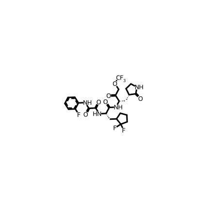 O=C(Nc1ccccc1F)C(=O)N[C@@H](CC1CCCC1(F)F)C(=O)N[C@@H](C[C@@H]1CCNC1=O)C(=O)COC(F)(F)F